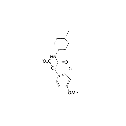 COc1ccc(CC(=O)NC2CCC(C)CC2)c(Cl)c1.O=C(O)O